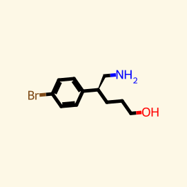 NC[C@@H](CCCO)c1ccc(Br)cc1